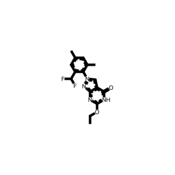 CCOc1nc2nn(-c3c(C)cc(C)cc3C(F)F)cc2c(=O)[nH]1